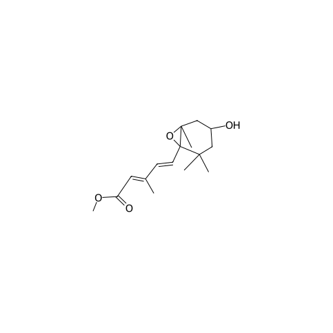 COC(=O)/C=C(C)/C=C/C12OC1(C)CC(O)CC2(C)C